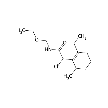 CCOCNC(=O)C(Cl)C1=C(CC)CCCC1C